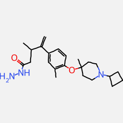 C=C(c1ccc(OC2(C)CCN(C3CCC3)CC2)c(C)c1)C(C)CC(=O)NN